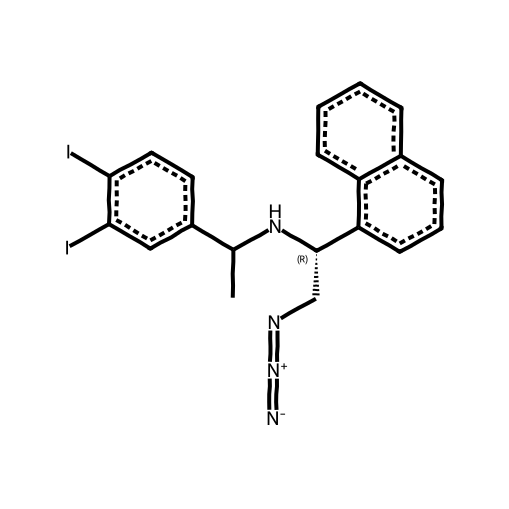 CC(N[C@@H](CN=[N+]=[N-])c1cccc2ccccc12)c1ccc(I)c(I)c1